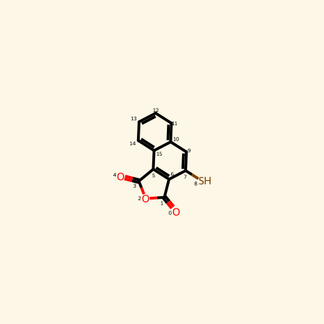 O=C1OC(=O)c2c1c(S)cc1ccccc21